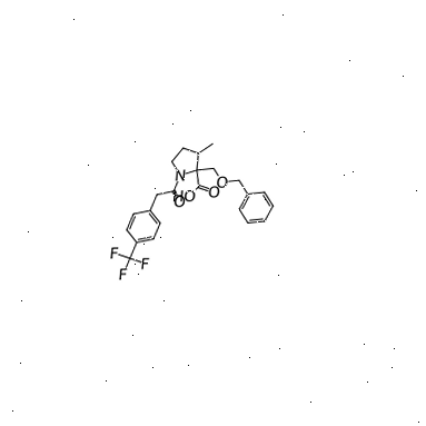 CC1CCN(C(=O)Cc2ccc(C(F)(F)F)cc2)C1(COCc1ccccc1)C(=O)O